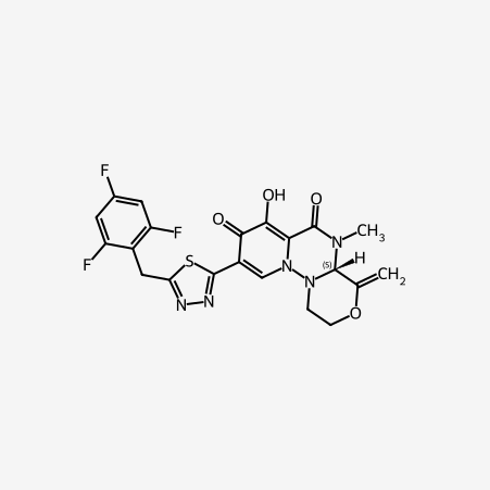 C=C1OCCN2[C@@H]1N(C)C(=O)c1c(O)c(=O)c(-c3nnc(Cc4c(F)cc(F)cc4F)s3)cn12